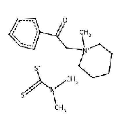 CN(C)C(=S)[S-].C[N+]1(CC(=O)c2ccccc2)CCCCC1